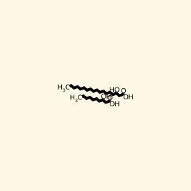 CCCCCCCC(O)CC(=O)O.CCCCCCCCCCCCCCCC(O)CC(=O)O